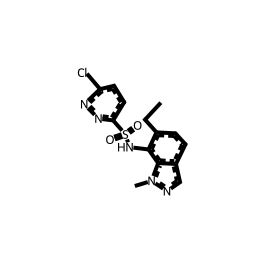 CCc1ccc2cnn(C)c2c1NS(=O)(=O)c1ccc(Cl)nn1